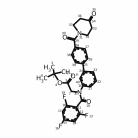 CC(C)(C)OC(=O)CN(C(=O)c1c(F)cc(F)cc1F)c1cccc(-c2ccc(C(=O)N3CCC(=O)CC3)cc2)c1